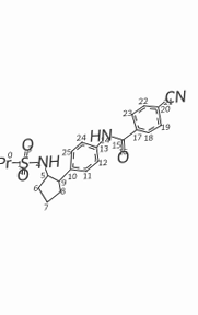 CC(C)S(=O)(=O)NC1CCCC1c1ccc(NC(=O)c2ccc(C#N)cc2)cc1